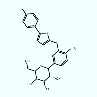 Cc1ccc(C2OC(CO)C(O)C(O)[C@H]2O)cc1Cc1ccc(-c2ccc(F)cc2)s1